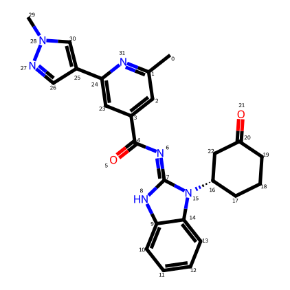 Cc1cc(C(=O)/N=c2\[nH]c3ccccc3n2[C@H]2CCCC(=O)C2)cc(-c2cnn(C)c2)n1